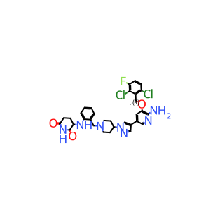 C[C@@H](Oc1cc(-c2cnn(C3CCN(Cc4ccccc4NC4CCC(=O)NC4=O)CC3)c2)cnc1N)c1c(Cl)ccc(F)c1Cl